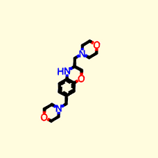 c1cc2c(cc1CN1CCOCC1)OCC(CN1CCOCC1)N2